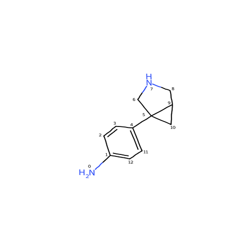 Nc1ccc(C23CNCC2C3)cc1